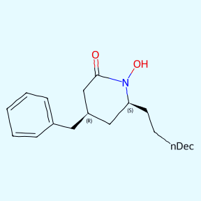 CCCCCCCCCCCC[C@H]1C[C@@H](Cc2ccccc2)CC(=O)N1O